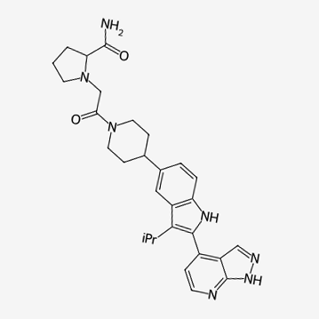 CC(C)c1c(-c2ccnc3[nH]ncc23)[nH]c2ccc(C3CCN(C(=O)CN4CCCC4C(N)=O)CC3)cc12